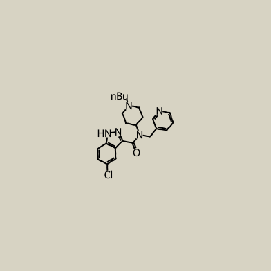 CCCCN1CCC(N(Cc2cccnc2)C(=O)c2n[nH]c3ccc(Cl)cc23)CC1